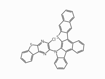 Clc1nc2sc3ccccc3c2nc1-n1c2ccccc2c2c3ccccc3c3c4cc5ccccc5cc4sc3c21